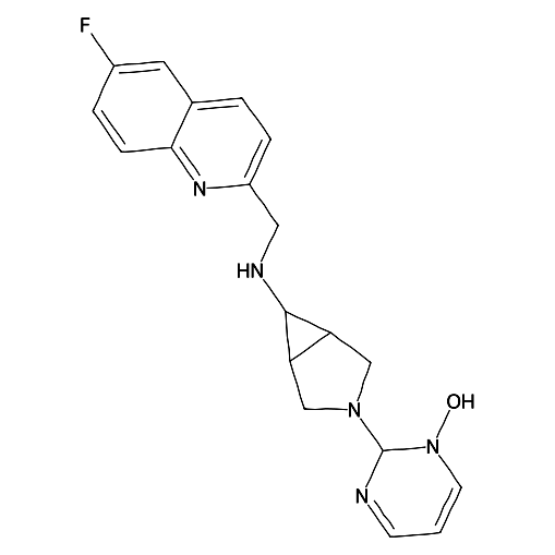 ON1C=CC=NC1N1CC2C(C1)C2NCc1ccc2cc(F)ccc2n1